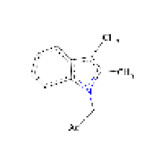 CC(=O)Cn1c(C)c(C)c2ccccc21